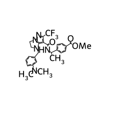 COC(=O)c1ccc(C(C)NC(=O)c2c(C(F)(F)F)nn3c2N(Cc2cccc(N(C)C)c2)CC3)cc1